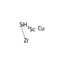 [Cu].[Sc].[SiH3][Zr]